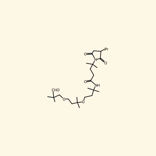 CC(C)C1CC(=O)N(C(C)(C)CCC(=O)NC(C)(C)CCOC(C)(C)CCOCC(C)(C)C=O)C1=O